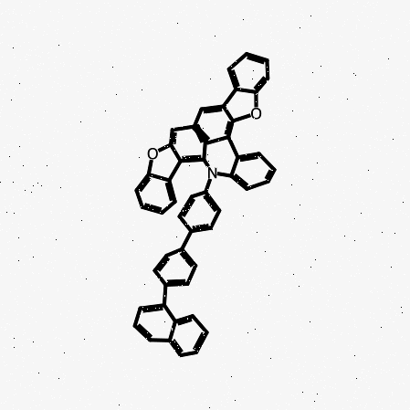 c1ccc(N(c2ccc(-c3ccc(-c4cccc5ccccc45)cc3)cc2)c2cccc3oc4ccccc4c23)c(-c2cccc3c2oc2ccccc23)c1